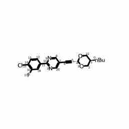 CCCC[C@H]1CO[C@H](C#Cc2cnc(-c3ccc(Cl)c(F)c3)nc2)OC1